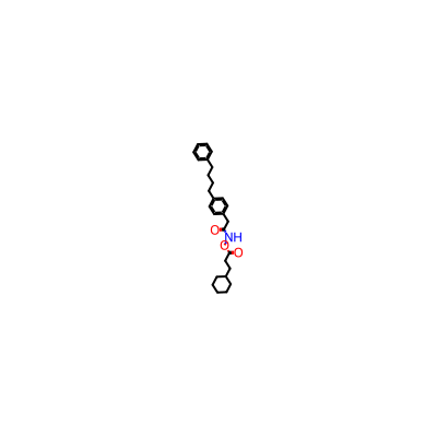 O=C(Cc1ccc(CCCCc2ccccc2)cc1)NOC(=O)CCC1CCCCC1